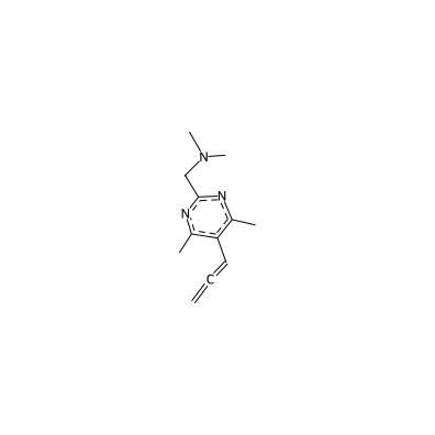 C=C=Cc1c(C)nc(CN(C)C)nc1C